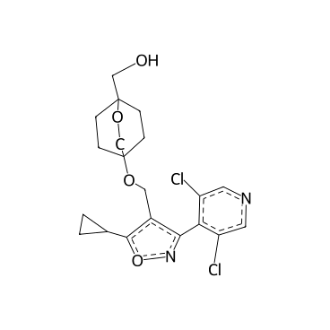 OCC12CCC(OCc3c(-c4c(Cl)cncc4Cl)noc3C3CC3)(CC1)CO2